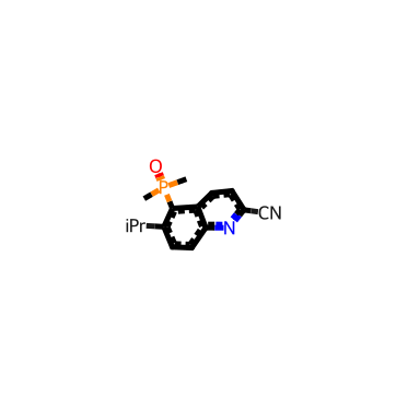 CC(C)c1ccc2nc(C#N)ccc2c1P(C)(C)=O